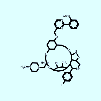 COc1ccccc1-c1nccc(COC2CCC3CC2CCOC2NSC4CNC(c5ccc(F)cc5)C(C5CCC(O[C@H](CN6CCN(C)CC6)CO3)C(Cl)C5C)C24)n1